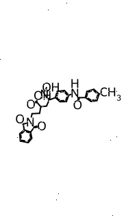 Cc1ccc(C(=O)Nc2ccc(C(CC(CCN3C(=O)c4ccccc4C3=O)C(=O)O)=NO)cc2)cc1